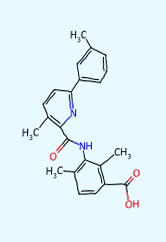 Cc1cccc(-c2ccc(C)c(C(=O)Nc3c(C)ccc(C(=O)O)c3C)n2)c1